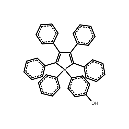 Oc1ccc([Si]2(c3ccccc3)C(c3ccccc3)=C(c3ccccc3)C(c3ccccc3)=C2c2ccccc2)cc1